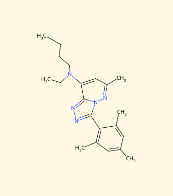 CCCCN(CC)c1cc(C)nn2c(-c3c(C)cc(C)cc3C)nnc12